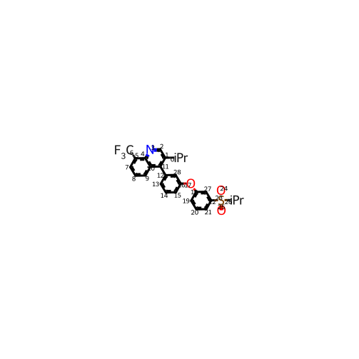 CC(C)c1cnc2c(C(F)(F)F)cccc2c1-c1cccc(Oc2cccc(S(=O)(=O)C(C)C)c2)c1